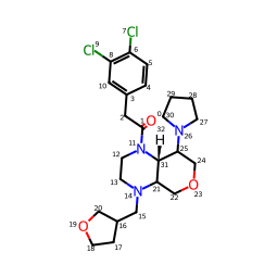 O=C(Cc1ccc(Cl)c(Cl)c1)N1CCN(CC2CCOC2)C2COCC(N3CCCC3)[C@H]21